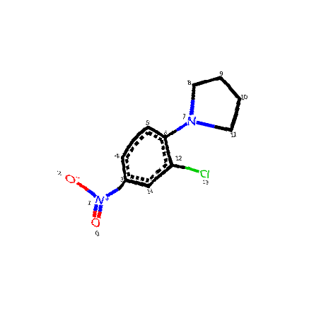 O=[N+]([O-])c1ccc(N2CCCC2)c(Cl)c1